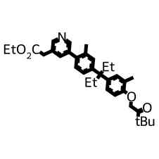 CCOC(=O)Cc1cncc(-c2ccc(C(CC)(CC)c3ccc(OCC(=O)C(C)(C)C)c(C)c3)cc2C)c1